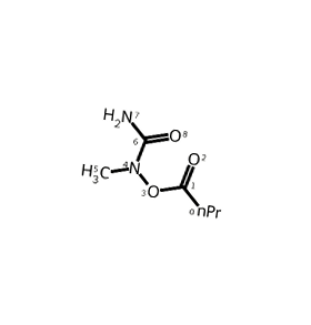 CCCC(=O)ON(C)C(N)=O